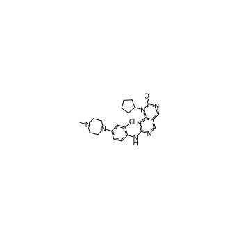 CN1CCN(c2ccc(Nc3ncc4cnc(=O)n(C5CCCC5)c4n3)c(Cl)c2)CC1